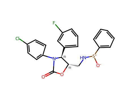 O=C1O[C@@H](CN[S+]([O-])c2ccccc2)[C@H](c2cccc(F)c2)N1c1ccc(Cl)cc1